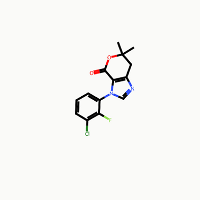 CC1(C)Cc2ncn(-c3cccc(Cl)c3F)c2C(=O)O1